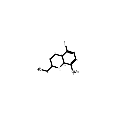 COC1=CC=C(F)C2CCC(CO)OC12